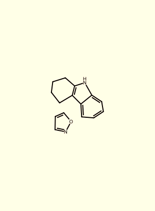 c1ccc2c3c([nH]c2c1)CCCC3.c1cnoc1